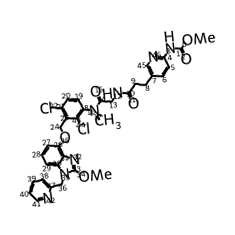 COC(=O)Nc1ccc(CCC(=O)NCC(=O)N(C)c2ccc(Cl)c(COc3cccc4c3nc(OC)n4Cc3ccccn3)c2Cl)cn1